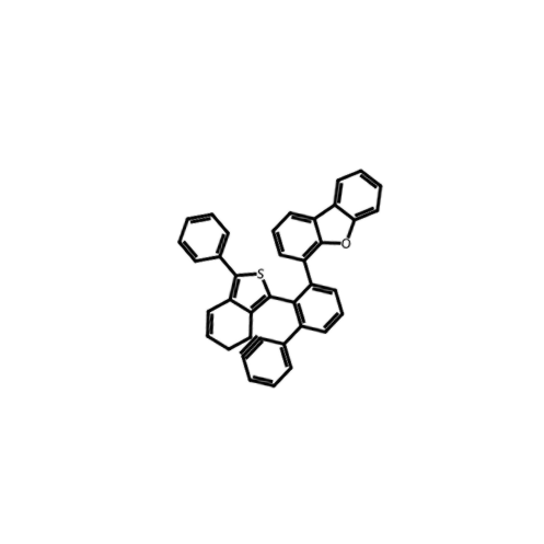 c1cccc(-c2cccc(-c3cccc4c3oc3ccccc34)c2-c2sc(-c3ccccc3)c3c2CCC=C3)c#1